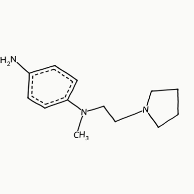 CN(CCN1CCCC1)c1ccc(N)cc1